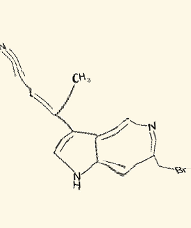 C/C(=C\C#N)c1c[nH]c2cc(Br)ncc12